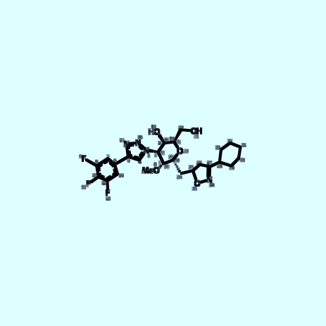 CO[C@@H]1[C@@H](n2cc(-c3cc(F)c(F)c(F)c3)nn2)[C@@H](O)[C@@H](CO)O[C@@H]1CC1CC(C2CCCCC2)=NO1